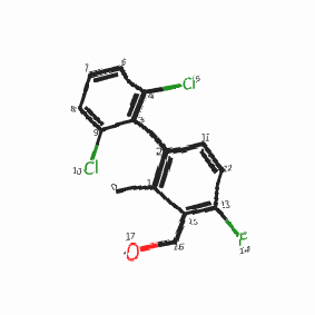 Cc1c(-c2c(Cl)cccc2Cl)ccc(F)c1C[O]